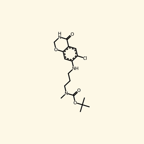 CN(CCCNc1cc2c(cc1Cl)C(=O)NCO2)C(=O)OC(C)(C)C